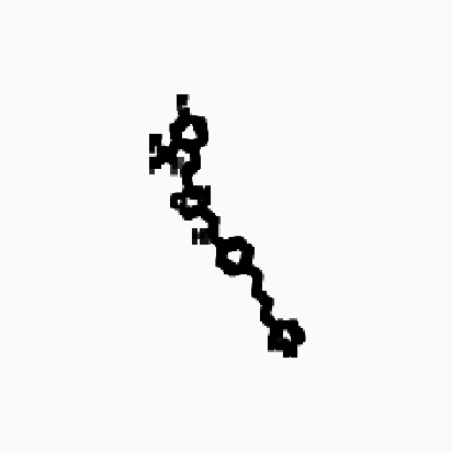 Fc1ccc(/C=C/c2nc(CNc3ccc(CCCCn4ccnn4)cc3)co2)c(C(F)(F)F)c1